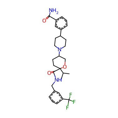 CC(C)C1(C(=O)NCc2cccc(C(F)(F)F)c2)CCC(N2CCC(c3cccc(C(N)=O)c3)CC2)CO1